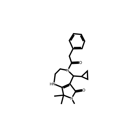 CN1C(=O)C2=C(NCCN(C(=O)Cc3ccccc3)C2C2CC2)C1(C)C